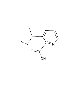 CCC(C)c1cccnc1C(=O)O